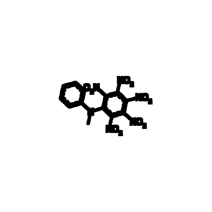 CN(c1ccccc1)c1c([N+](=O)[O-])c([N+](=O)[O-])c([N+](=O)[O-])c([N+](=O)[O-])c1[N+](=O)[O-]